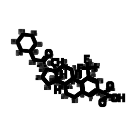 C[C@]12CC[C@@H]3c4c(cc(S(=O)(=O)O)cc4C(F)(F)F)CC[C@H]3[C@@H]1CC[C@@H]2C(=O)CC1CCCCC1